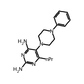 CCCc1nc(N)nc(N)c1N1CCN(c2ccccc2)CC1